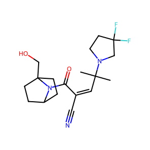 CC(C)(/C=C(/C#N)C(=O)N1C2CCC1(CO)CC2)N1CCC(F)(F)C1